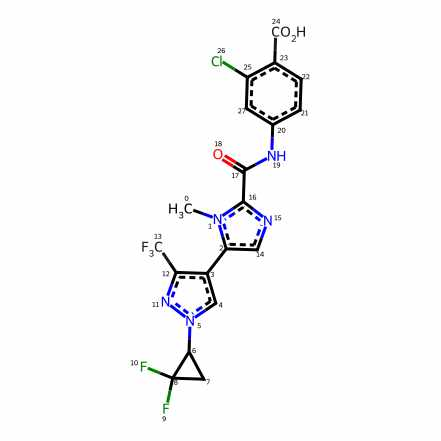 Cn1c(-c2cn(C3CC3(F)F)nc2C(F)(F)F)cnc1C(=O)Nc1ccc(C(=O)O)c(Cl)c1